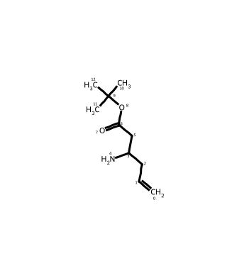 C=CCC(N)CC(=O)OC(C)(C)C